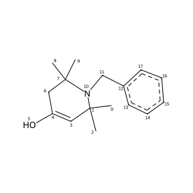 CC1(C)C=C(O)CC(C)(C)N1Cc1ccccc1